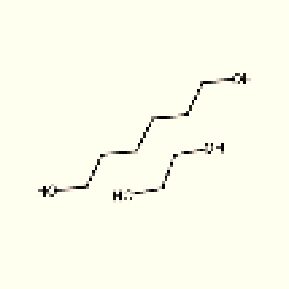 OCCCCCCO.OCCO